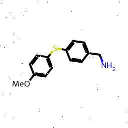 COc1ccc(Sc2ccc(CN)cc2)cc1